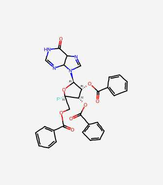 O=C(OC[C@@]1(F)O[C@@H](N2C=NC3C(=O)NC=NC32)[C@H](OC(=O)c2ccccc2)[C@@H]1OC(=O)c1ccccc1)c1ccccc1